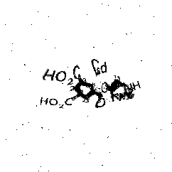 O=C(O)c1cc(C(=O)O)cc(C(=O)Oc2c[nH]nn2)c1.[Cd]